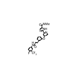 CNC(=O)c1cnc(-c2cc(Oc3cccc(C=CC(=O)Nc4ccc(F)c(C(F)(F)F)c4)c3)ccn2)[nH]1